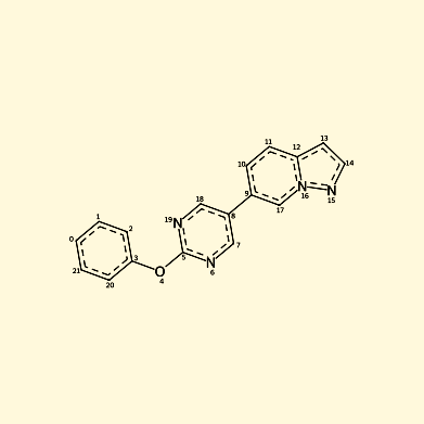 c1ccc(Oc2ncc(-c3ccc4ccnn4c3)cn2)cc1